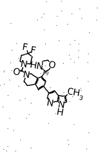 Cc1c[nH]c2ncc(-c3cc4c(c([C@@H]5COCCN5)c3)CN(C(=O)N3CCC(F)(F)CC3)CC4)cc12